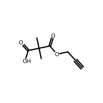 C#CCOC(=O)C(C)(C)C(=O)O